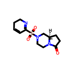 O=C1CC[C@@H]2CN(S(=O)(=O)C3=NCCC=C3)CCN12